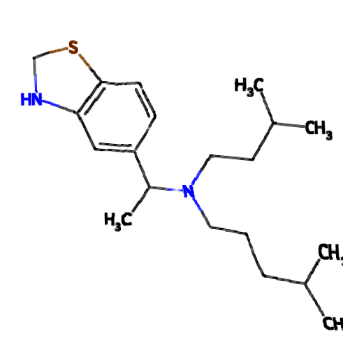 CC(C)CCCN(CCC(C)C)C(C)c1ccc2c(c1)NCS2